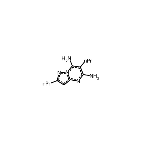 CCCc1cc2nc(N)c(CCC)c(N)n2n1